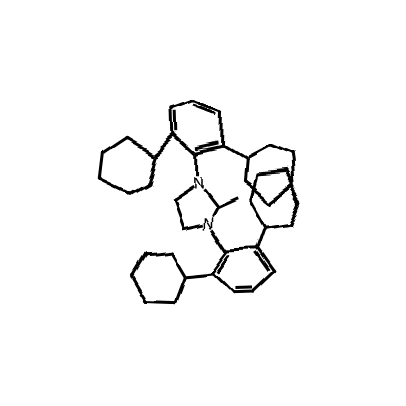 CC1N(c2c(C3CCCCC3)cccc2C2CCCCC2)CCN1c1c(C2CCCCC2)cccc1C1CCCCC1